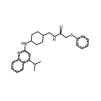 CN(C)c1cc(NC2CCC(CNC(=O)CSc3ccccc3)CC2)nc2ccccc12